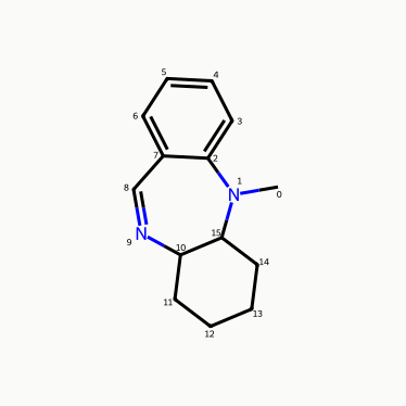 CN1c2ccccc2C=NC2CCCCC21